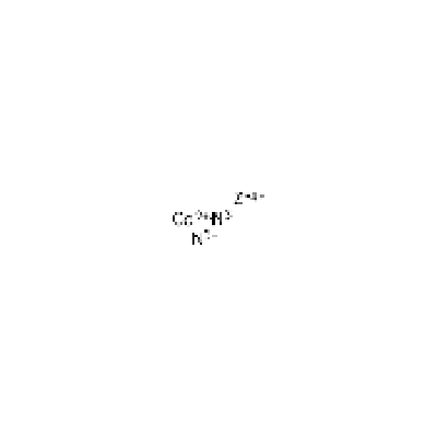 [Co+2].[N-3].[N-3].[Zr+4]